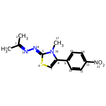 CC(C)=N/N=c1\scc(-c2ccc([N+](=O)[O-])cc2)n1C